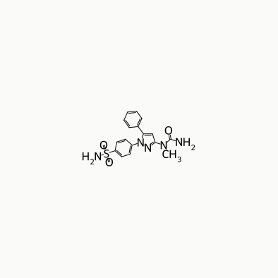 CN(C(N)=O)c1cc(-c2ccccc2)n(-c2ccc(S(N)(=O)=O)cc2)n1